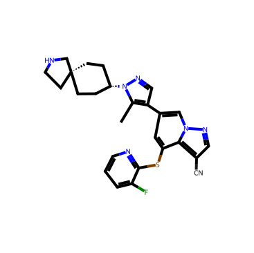 Cc1c(-c2cc(Sc3ncccc3F)c3c(C#N)cnn3c2)cnn1[C@H]1CC[C@@]2(CCNC2)CC1